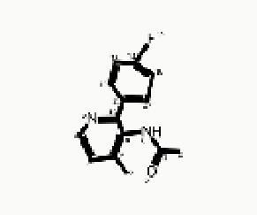 CC(=O)Nc1c(C)ccnc1-c1ccc(F)cc1